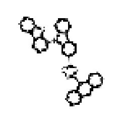 c1ccc2c(-c3nsc(-c4ccc5c6ccccc6n(-c6cccc7c6oc6ccccc67)c5c4)n3)c3ccccc3cc2c1